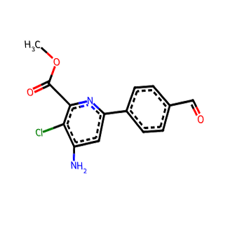 COC(=O)c1nc(-c2ccc(C=O)cc2)cc(N)c1Cl